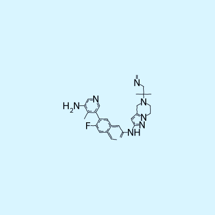 C=NCC(C)(C)N1CCn2nc(NC(=C)/C=c3/cc(-c4cncc(N)c4C)c(F)c/c3=C/C)cc2C1